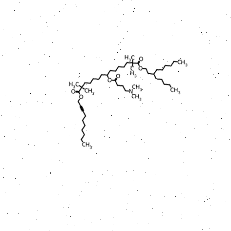 CCCCCCCC#CCOC(=O)C(C)(C)CCCCCC(CCCCCC(C)(C)C(=O)OCCC(CCCCC)CCCCCC)OC(=O)CCCN(C)C